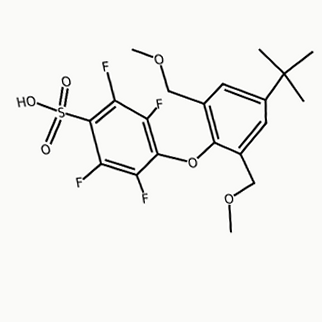 COCc1cc(C(C)(C)C)cc(COC)c1Oc1c(F)c(F)c(S(=O)(=O)O)c(F)c1F